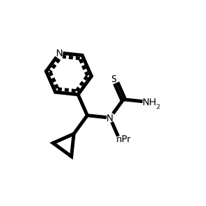 CCCN(C(N)=S)C(c1ccncc1)C1CC1